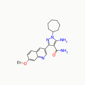 CCOc1ccc2cc(-c3nn(C4CCCCCC4)c(N)c3C(N)=O)cnc2c1